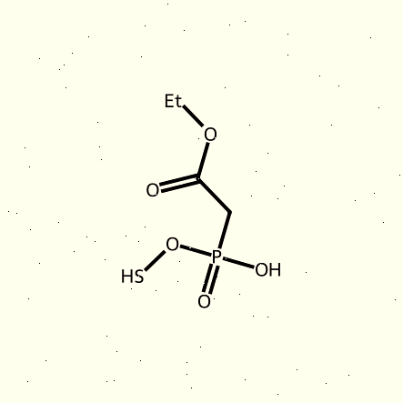 CCOC(=O)CP(=O)(O)OS